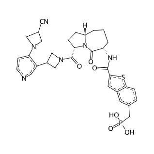 N#CC1CN(c2ccncc2C2CN(C(=O)[C@@H]3CC[C@@H]4CCC[C@H](NC(=O)c5cc6cc(CP(=O)(O)O)ccc6s5)C(=O)N43)C2)C1